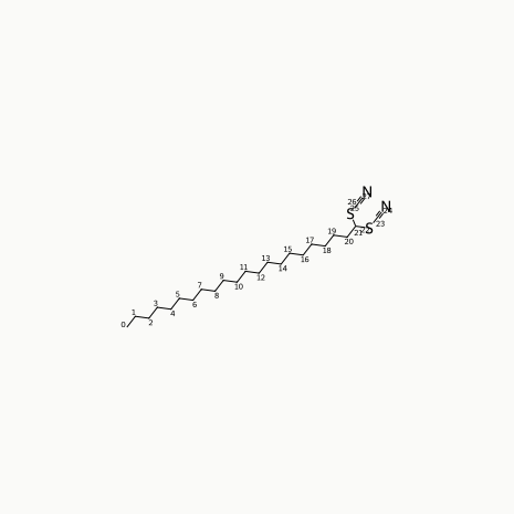 CCCCCCCCCCCCCCCCCCCCCC(SC#N)SC#N